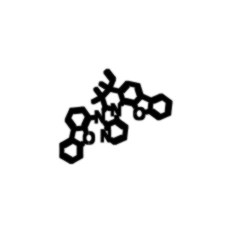 C=CC1(C)c2ccc3c(oc4ccccc43)c2N2c3cccnc3N(c3cccc4c3oc3ccccc34)C2C1(C)C